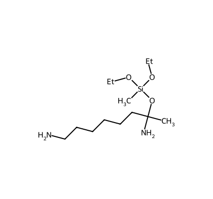 CCO[Si](C)(OCC)OC(C)(N)CCCCCCN